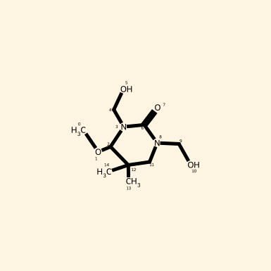 COC1N(CO)C(=O)N(CO)CC1(C)C